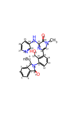 CCCCC1c2ccccc2C(=O)N1c1cccc(-c2cn(C)c(=O)c(Nc3cccnc3)n2)c1CO